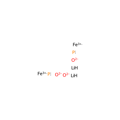 [Fe+3].[Fe+3].[LiH].[LiH].[O-2].[O-2].[O-2].[P].[P]